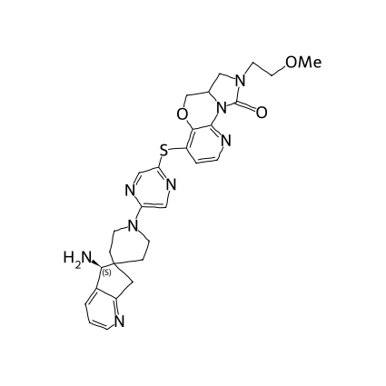 COCCN1CC2COc3c(Sc4cnc(N5CCC6(CC5)Cc5ncccc5[C@H]6N)cn4)ccnc3N2C1=O